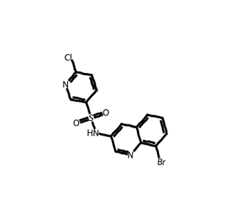 O=S(=O)(Nc1cnc2c(Br)cccc2c1)c1ccc(Cl)nc1